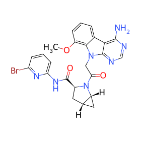 COc1cccc2c3c(N)ncnc3n(CC(=O)N3[C@@H]4C[C@@H]4C[C@H]3C(=O)Nc3cccc(Br)n3)c12